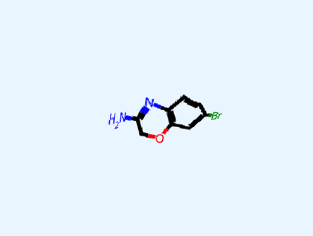 NC1=Nc2ccc(Br)cc2OC1